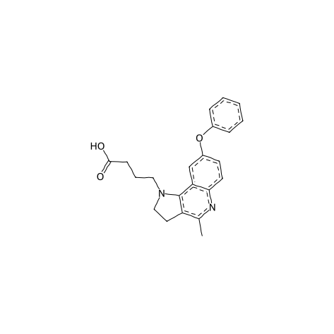 Cc1nc2ccc(Oc3ccccc3)cc2c2c1CCN2CCCC(=O)O